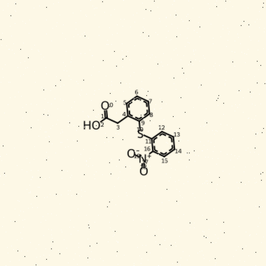 O=C(O)Cc1ccccc1Sc1ccccc1[N+](=O)[O-]